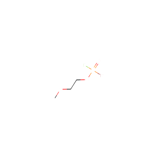 COCCOP(=O)(F)Br